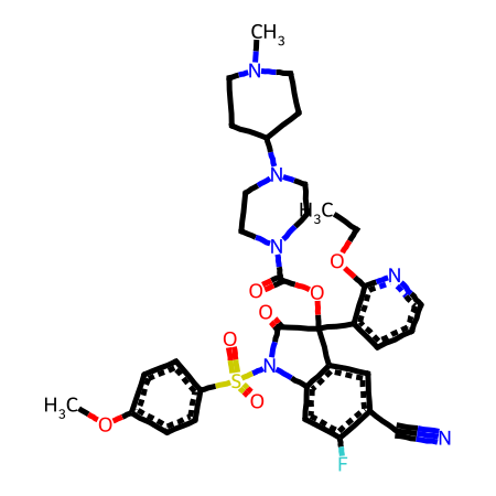 CCOc1ncccc1C1(OC(=O)N2CCN(C3CCN(C)CC3)CC2)C(=O)N(S(=O)(=O)c2ccc(OC)cc2)c2cc(F)c(C#N)cc21